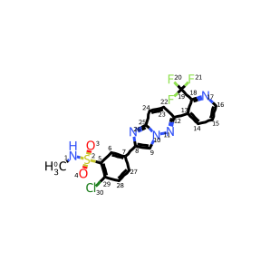 CNS(=O)(=O)c1cc(-c2cn3nc(-c4cccnc4C(F)(F)F)ccc3n2)ccc1Cl